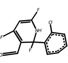 O=CC1=C(F)C=C(F)NC1(F)c1ccccc1Cl